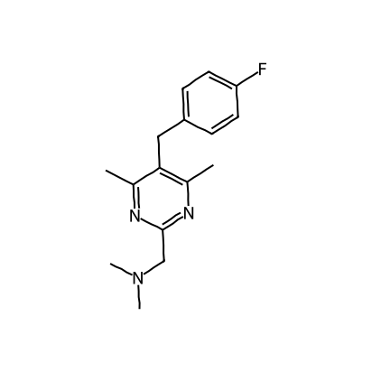 Cc1nc(CN(C)C)nc(C)c1Cc1ccc(F)cc1